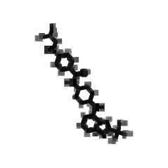 O=C(NC1CCC(Nc2cccc3nc(C(F)(F)F)cn23)CC1)c1ccc(NCC(F)F)cc1